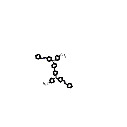 Cc1ccc(N(c2ccc(/C=C/c3ccccc3)cc2)c2ccc(-c3ccc(N(c4ccc(C)cc4)c4ccc(/C=C/c5ccccc5)cc4)cc3)cc2)cc1